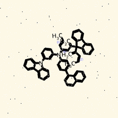 C=C(/C=C\C)C1(C(=C)/C=C(\C=C\C)N(c2ccc(-c3cccc4ccccc34)cc2)c2cccc(-n3c4ccccc4c4ccccc43)c2)c2ccccc2-c2ccccc21